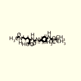 CC(=O)NCCCC(NC(=O)NCc1ccc(NC(=O)OC(C)(C)C)cc1)C(=O)O